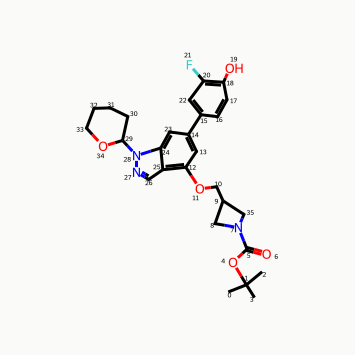 CC(C)(C)OC(=O)N1CC(COc2cc(-c3ccc(O)c(F)c3)cc3c2cnn3C2CCCCO2)C1